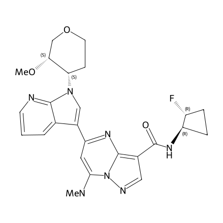 CNc1cc(-c2cn([C@H]3CCOC[C@H]3OC)c3ncccc23)nc2c(C(=O)N[C@@H]3CC[C@H]3F)cnn12